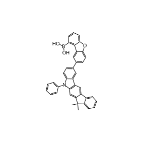 CC1(C)c2ccccc2-c2cc3c4cc(-c5ccc6oc7cccc(B(O)O)c7c6c5)ccc4n(-c4ccccc4)c3cc21